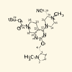 CN1CCC[C@H]1COc1nc2c(c(N3CCN(C)[C@@H](CC#N)C3)n1)CCN(C(=O)OC(C)(C)C)C2